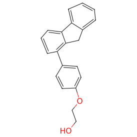 OCCOc1ccc(-c2cccc3c2Cc2ccccc2-3)cc1